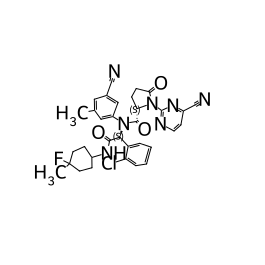 Cc1cc(C#N)cc(N(C(=O)[C@@H]2CCC(=O)N2c2nccc(C#N)n2)[C@H](C(=O)NC2CCC(C)(F)CC2)c2ccccc2Cl)c1